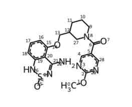 COc1ncc(C(=O)N2CCCC(COc3cccc4c3C(N)=N[S+]([O-])N4)C2)cn1